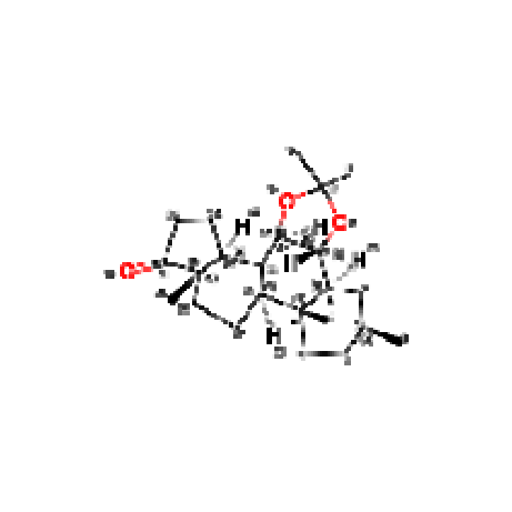 C[C@H]1CC[C@@]2(C)[C@H](C1)[C@H]1OC(C)(C)O[C@@H]1C1[C@@H]2CC[C@]2(C)C(=O)CC[C@@H]12